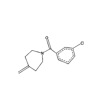 C=C1CCN(C(=O)c2cccc(Cl)c2)CC1